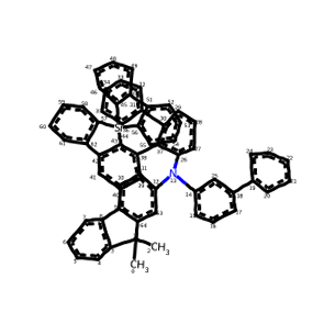 CC1(C)c2ccccc2-c2ccc(N(c3cccc(-c4ccccc4)c3)c3cccc(-c4ccccc4)c3-c3cccc4c3[Si]3(c5ccccc5-c5ccccc53)c3ccccc3-4)cc21